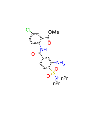 CCCN(CCC)S(=O)(=O)c1ccc(C(=O)Nc2ccc(Cl)cc2C(=O)OC)cc1N